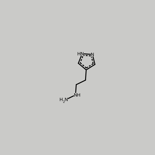 NNCCc1cn[nH]c1